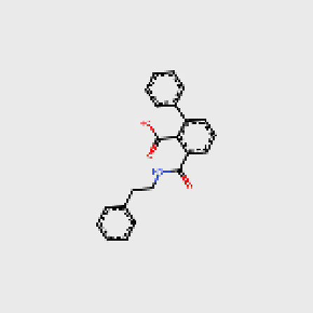 O=C(NCCc1ccccc1)c1cccc(-c2ccccc2)c1C(=O)O